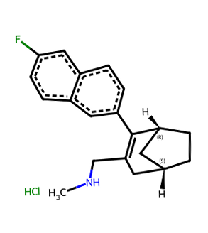 CNCC1=C(c2ccc3cc(F)ccc3c2)[C@@H]2CC[C@H](C1)C2.Cl